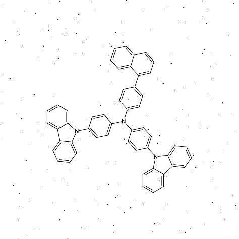 c1ccc2c(-c3ccc(N(c4ccc(-n5c6ccccc6c6ccccc65)cc4)c4ccc(-n5c6ccccc6c6ccccc65)cc4)cc3)cccc2c1